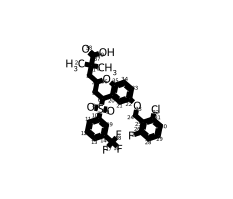 CC(C)(CC1CC(S(=O)(=O)c2cccc(C(F)(F)F)c2)c2cc(OCc3c(F)cccc3Cl)ccc2O1)C(=O)O